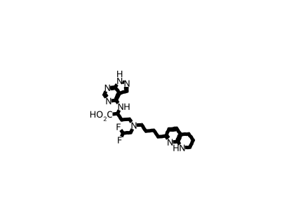 O=C(O)C(CCN(CCCCc1ccc2c(n1)NCCC2)CC(F)F)Nc1ncnc2[nH]ncc12